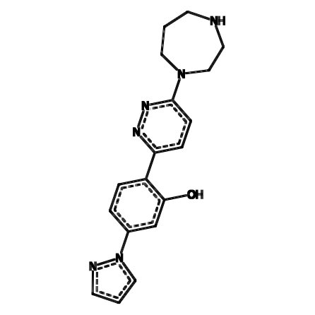 Oc1cc(-n2cccn2)ccc1-c1ccc(N2CCCNCC2)nn1